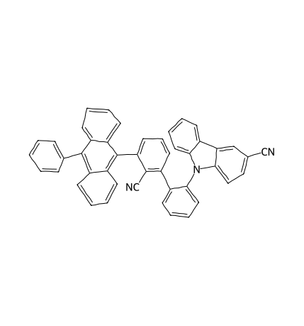 N#Cc1ccc2c(c1)c1ccccc1n2-c1ccccc1-c1cccc(-c2c3ccccc3c(-c3ccccc3)c3ccccc23)c1C#N